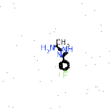 C[C@H](N)c1nc(-c2ccc(F)cc2)c[nH]1